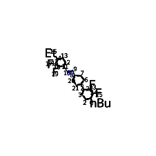 CCCCc1ccc(-c2ccc(/C=C/c3ccc(CC)c(F)c3F)cc2)c(F)c1F